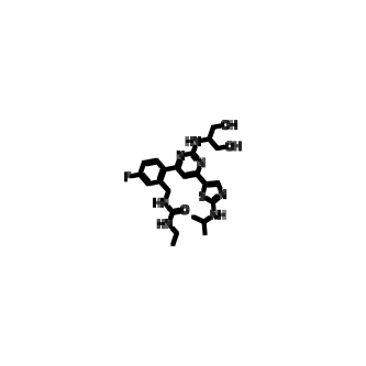 CCNC(=O)NCc1cc(F)ccc1-c1cc(-c2cnc(NC(C)C)s2)nc(NC(CO)CO)n1